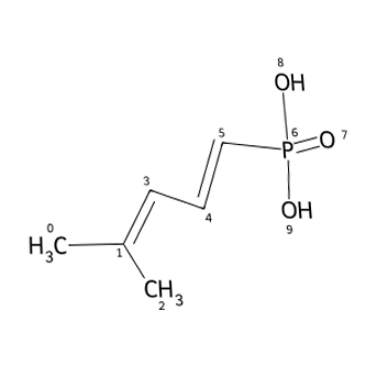 CC(C)=CC=CP(=O)(O)O